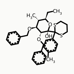 CC[C@H]1O[C@@](O)(C2(c3ccc(C)cc3)SCCCS2)[C@H](OCc2ccccc2)[C@@H](OCc2ccccc2)[C@@H]1C